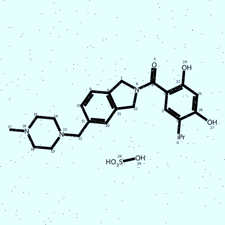 CC(C)c1cc(C(=O)N2Cc3ccc(CN4CCN(C)CC4)cc3C2)c(O)cc1O.O=S(=O)(O)O